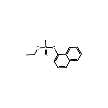 CCOP(C)(=O)Oc1cccc2ccccc12